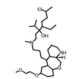 CCC(CCC(C)Cl)C(O)(CCN(C)CCCC1C2CC(OCCOC)CCC2OC[C@H]2NCCCC12)C(C)C